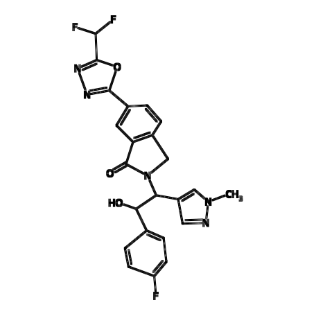 Cn1cc(C(C(O)c2ccc(F)cc2)N2Cc3ccc(-c4nnc(C(F)F)o4)cc3C2=O)cn1